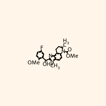 COC(=O)N1c2ccc3c(nc([C@@H](O)c4cc(F)ccc4OC)n3C)c2CC[C@@H]1C